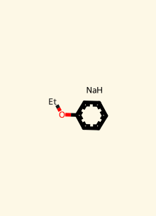 CCOc1ccccc1.[NaH]